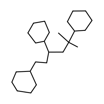 CC(C)(CC(CCC1CCCCC1)C1CCCCC1)C1CCCCC1